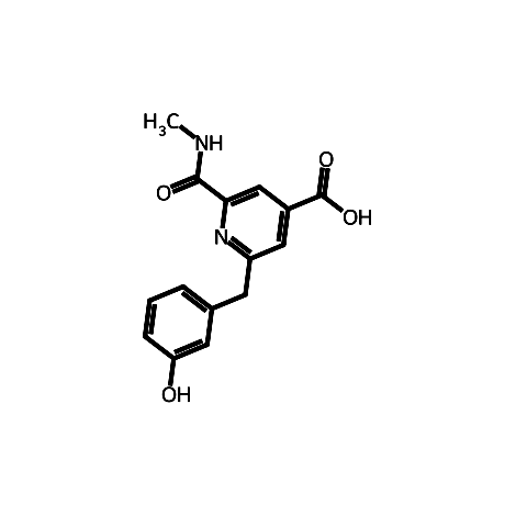 CNC(=O)c1cc(C(=O)O)cc(Cc2cccc(O)c2)n1